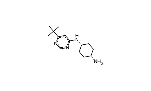 CC(C)(C)c1cc(N[C@H]2CC[C@@H](N)CC2)ncn1